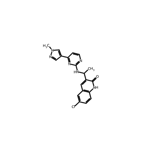 CC(Nc1nccc(-c2cnn(C)c2)n1)c1cc2cc(Cl)ccc2[nH]c1=O